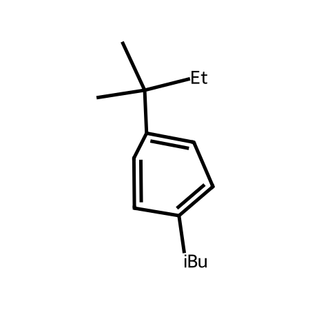 CCC(C)c1ccc(C(C)(C)CC)cc1